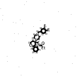 CCC(=O)N(CC1(N2CCN(Cc3ccc(F)c(F)c3)CC2)CCOCC1)c1ccccc1